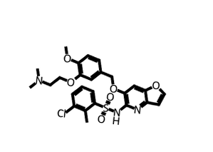 COc1ccc(COc2cc3occc3nc2NS(=O)(=O)c2cccc(Cl)c2C)cc1OCCN(C)C